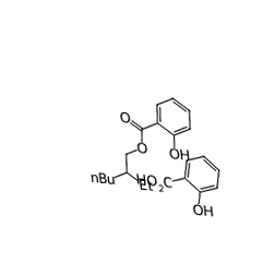 CCCCC(CC)COC(=O)c1ccccc1O.O=C(O)c1ccccc1O